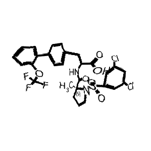 C[C@@]1(C(=O)NC(Cc2ccc(-c3ccccc3OC(F)(F)F)cc2)C(=O)O)CCCN1S(=O)(=O)c1cc(Cl)cc(Cl)c1